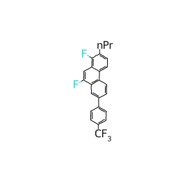 CCCc1ccc2c(cc(F)c3cc(-c4ccc(C(F)(F)F)cc4)ccc32)c1F